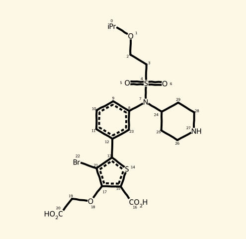 CC(C)OCCS(=O)(=O)N(c1cccc(-c2sc(C(=O)O)c(OCC(=O)O)c2Br)c1)C1CCNCC1